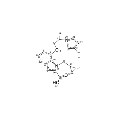 CC(COc1cccc2cc(C(=O)O)n(CC3CC3)c12)n1cnc(F)c1